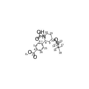 COC(=O)c1ccc(C2C[C@@H](O[Si](C)(C)C(C)(C)C)CCN2C(=O)O)cc1